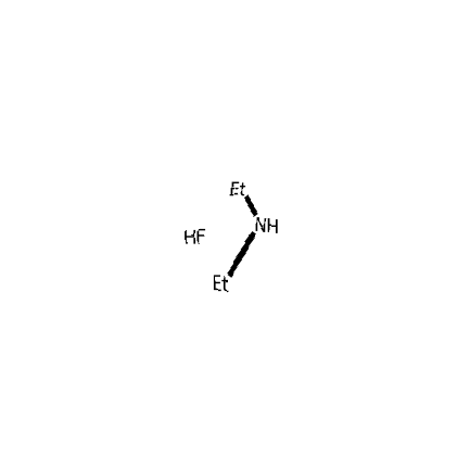 CCNCC.F